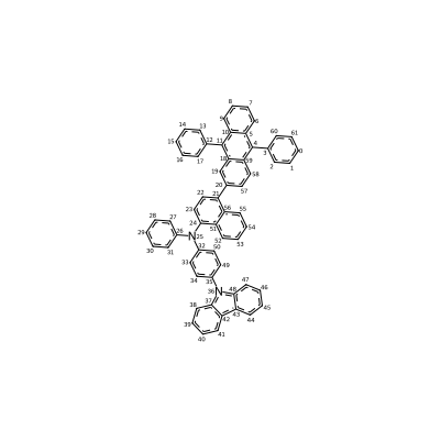 c1ccc(-c2c3ccccc3c(-c3ccccc3)c3cc(-c4ccc(N(c5ccccc5)c5ccc(-n6c7ccccc7c7ccccc76)cc5)c5ccccc45)ccc23)cc1